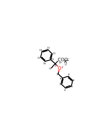 CC(OCc1ccccc1)(C(=O)[O-])c1ccccc1.[K+]